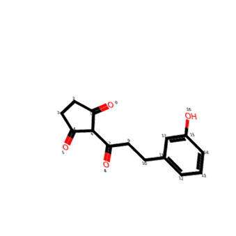 O=C1CCC(=O)C1C(=O)CCc1cccc(O)c1